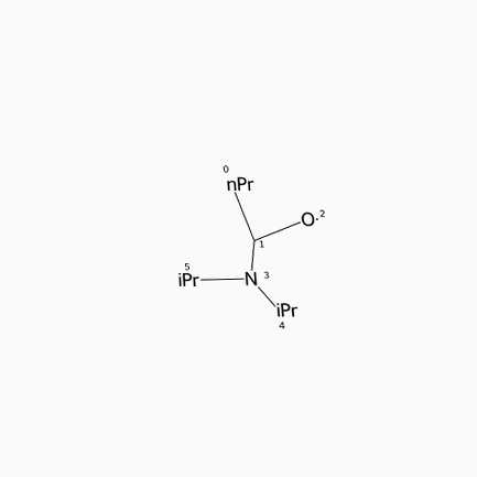 CCCC([O])N(C(C)C)C(C)C